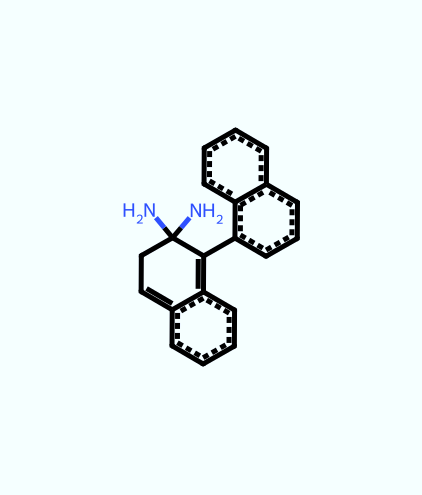 NC1(N)CC=c2ccccc2=C1c1cccc2ccccc12